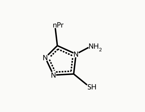 CCCc1nnc(S)n1N